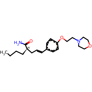 CCCC[C@H](CC=Cc1ccc(OCCN2CCOCC2)cc1)C(N)=O